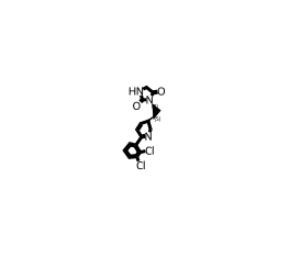 O=C1CNC(=O)N1[C@@H]1C[C@H]1C1C=CC(c2cccc(Cl)c2Cl)=NC1